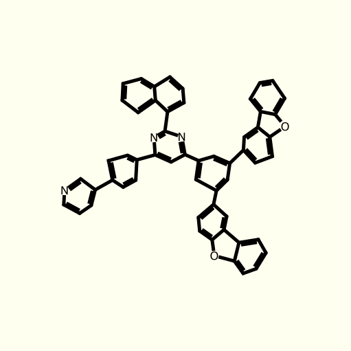 c1cncc(-c2ccc(-c3cc(-c4cc(-c5ccc6oc7ccccc7c6c5)cc(-c5ccc6oc7ccccc7c6c5)c4)nc(-c4cccc5ccccc45)n3)cc2)c1